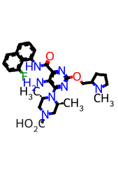 C[C@H]1CN(C(=O)O)C[C@H](C)N1c1nc(OCC2CCCN2C)nc(C(=O)Nc2cccc3cccc(F)c23)c1N